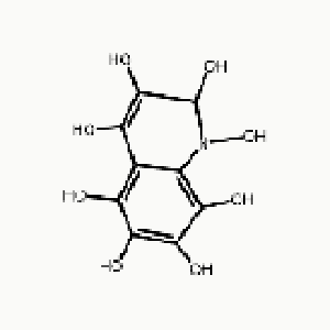 OC1=C(O)C(O)N(O)c2c(O)c(O)c(O)c(O)c21